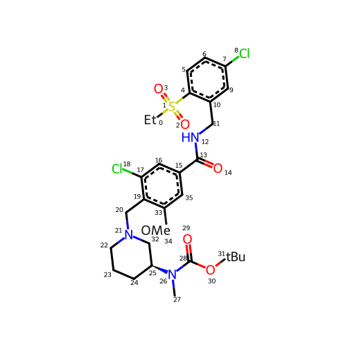 CCS(=O)(=O)c1ccc(Cl)cc1CNC(=O)c1cc(Cl)c(CN2CCC[C@H](N(C)C(=O)OC(C)(C)C)C2)c(OC)c1